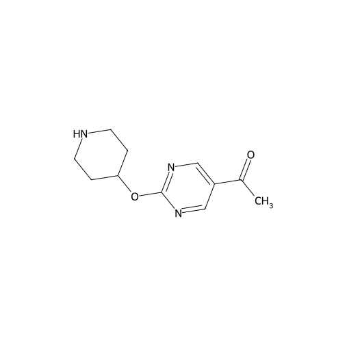 CC(=O)c1cnc(OC2CCNCC2)nc1